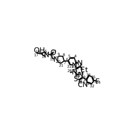 CCc1nc2ccc(C3CCN(CC(=O)N4CC(CO)C4)CC3)cn2c1N(C)c1nc(-c2ccc(F)cc2)c(C#N)s1